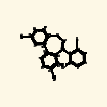 Fc1cccc(F)c1C1=NCc2ncc(Br)c[n+]2-c2ccc(Cl)c(Cl)c21